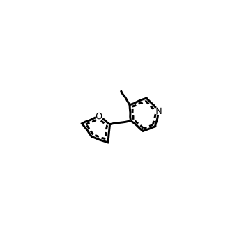 Cc1cnccc1-c1ccco1